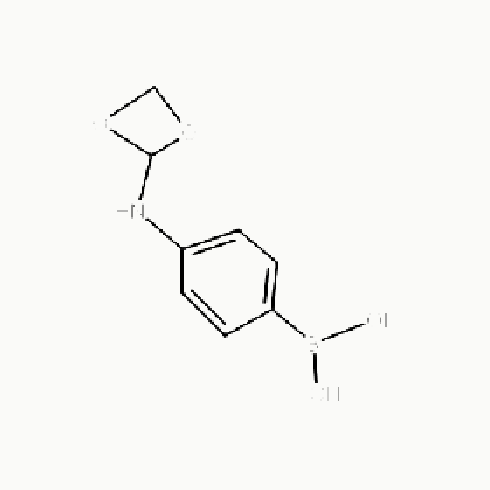 OB(O)c1ccc(NC2OCO2)cc1